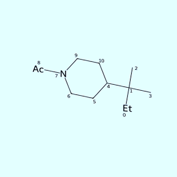 CCC(C)(C)C1CCN(C(C)=O)CC1